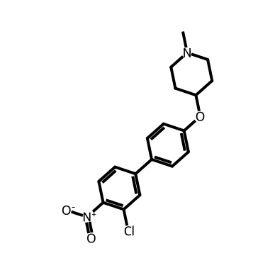 CN1CCC(Oc2ccc(-c3ccc([N+](=O)[O-])c(Cl)c3)cc2)CC1